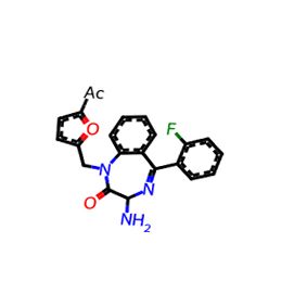 CC(=O)c1ccc(CN2C(=O)C(N)N=C(c3ccccc3F)c3ccccc32)o1